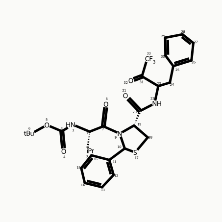 CC(C)[C@H](NC(=O)OC(C)(C)C)C(=O)N1C(c2ccccc2)SC[C@H]1C(=O)NC(Cc1ccccc1)C(=O)C(F)(F)F